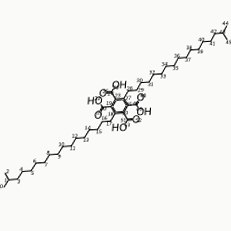 CC(C)CCCCCCCCCCCCCCCc1c(C(=O)O)c(C(=O)O)c(CCCCCCCCCCCCCCCC(C)C)c(C(=O)O)c1C(=O)O